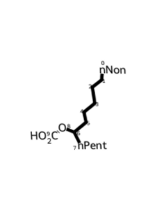 CCCCCCCCCCCCCCC(CCCCC)OC(=O)O